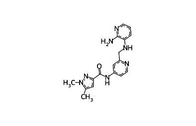 Cc1cc(C(=O)Nc2ccnc(CNc3cccnc3N)c2)nn1C